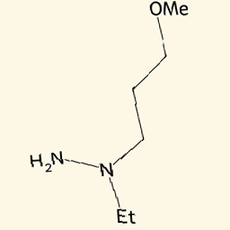 CCN(N)CCCOC